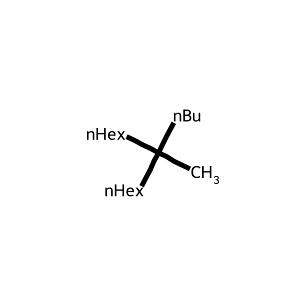 [CH2]CCCC(C)(CCCCCC)CCCCCC